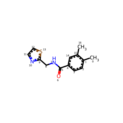 Cc1ccc(C(=O)NCc2nccs2)cc1C